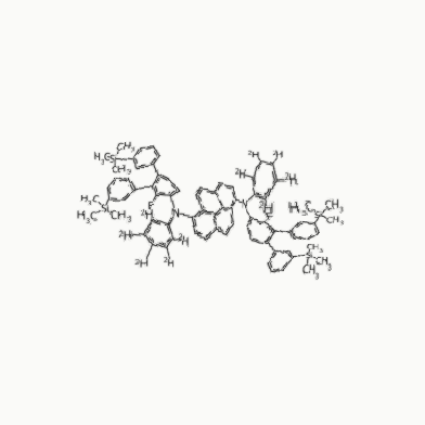 [2H]c1c([2H])c([2H])c(N(c2ccc(-c3cccc([Si](C)(C)C)c3)c(-c3cccc([Si](C)(C)C)c3)c2F)c2ccc3ccc4c(N(c5ccc(-c6cccc([Si](C)(C)C)c6)c(-c6cccc([Si](C)(C)C)c6)c5F)c5c([2H])c([2H])c([2H])c([2H])c5[2H])ccc5ccc2c3c54)c([2H])c1[2H]